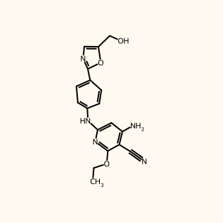 CCOc1nc(Nc2ccc(-c3ncc(CO)o3)cc2)cc(N)c1C#N